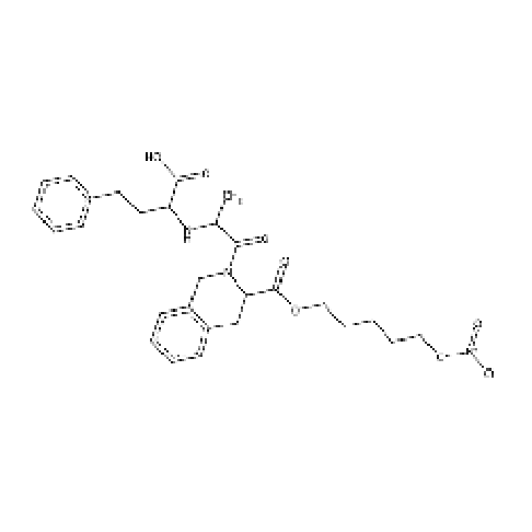 CC(NC(CCc1ccccc1)C(=O)O)C(=O)N1Cc2ccccc2CC1C(=O)OCCCCCO[N+](=O)[O-]